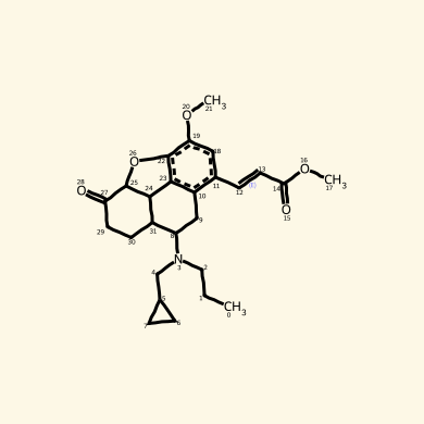 CCCN(CC1CC1)C1Cc2c(/C=C/C(=O)OC)cc(OC)c3c2C2C(O3)C(=O)CCC21